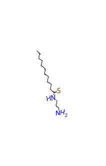 CCCCCCCCCCCC(=S)NCCCN